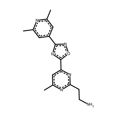 Cc1cc(-c2noc(-c3cc(C)nc(CCN)n3)n2)cc(C)n1